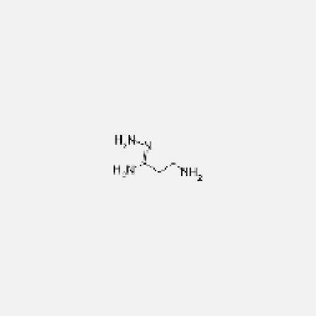 NCCC(N)=NN